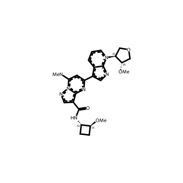 CNc1cc(-c2cnc3n([C@H]4COC[C@@H]4OC)cccc2-3)nc2c(C(=O)N[C@H]3CC[C@@H]3OC)cnn12